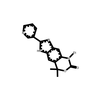 CCN1C(=O)OC(C)(C)c2cc3[nH]c(-c4cccnc4)nc3cc21